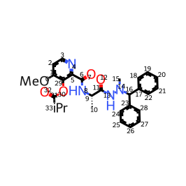 COc1ccnc(C(=O)N[C@@H](C)C(=O)NN(C)C(c2ccccc2)c2ccccc2)c1OC(=O)C(C)C